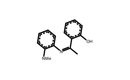 CNc1ccccc1N=C(C)c1ccccc1O